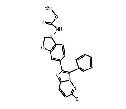 CC(C)(C)OC(=O)N[C@H]1COc2cc(-c3nc4ccc(Cl)nn4c3-c3ccccc3)ccc21